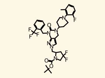 Cc1cccc(F)c1N1CCC(N2Cc3cn(CC4CC(F)(F)CN4C(=O)OC(C)(C)C)nc3N(Cc3ccccc3C(F)(F)F)C2=O)CC1